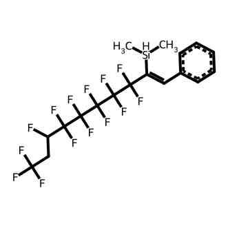 C[SiH](C)C(=Cc1ccccc1)C(F)(F)C(F)(F)C(F)(F)C(F)(F)C(F)(F)C(F)CC(F)(F)F